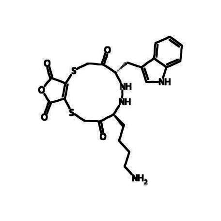 NCCCC[C@@H]1NN[C@@H](Cc2c[nH]c3ccccc23)C(=O)CSC2=C(SCC1=O)C(=O)OC2=O